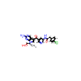 CC(CO)n1cc(C(=O)c2cncc(NC(=O)Cc3ccc(Cl)cc3)c2)c2cnc(N)nc21